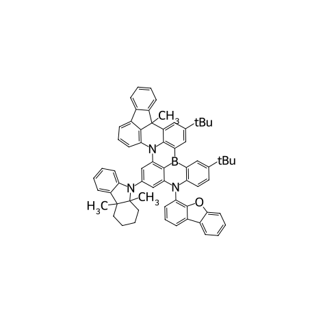 CC(C)(C)c1ccc2c(c1)B1c3cc(C(C)(C)C)cc4c3N(c3cc(N5c6ccccc6C6(C)CCCCC56C)cc(c31)N2c1cccc2c1oc1ccccc12)c1cccc2c1C4(C)c1ccccc1-2